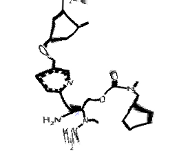 CCOC(=O)C1CC(Oc2ccc(/C(N)=C(\COC(=O)N(C)C3CCCC3)N(C)N)nc2)CC1C